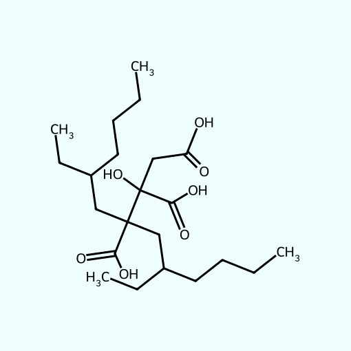 CCCCC(CC)CC(CC(CC)CCCC)(C(=O)O)C(O)(CC(=O)O)C(=O)O